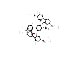 CC(C)(C)c1ccc2c3ccc(C(C)(C)C)cc3n(-c3cc(-c4c(F)cccc4F)c(-n4c5cc(C(C)(C)C)ccc5c5ccc(C(C)(C)C)cc54)cc3C#N)c2c1